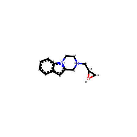 c1ccc2c(c1)cc1n2CCN(CC2CO2)C1